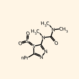 CCCC1=NN=C(N(C)C(=O)N(C)C)S1=S(=O)=O